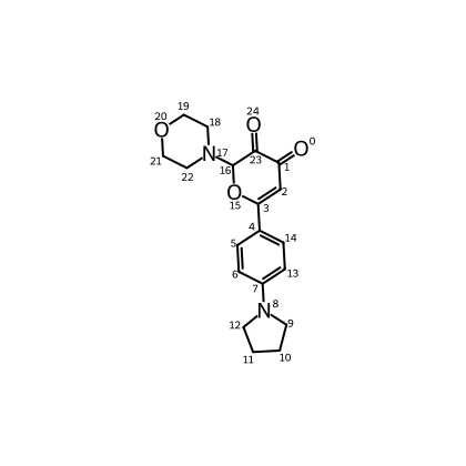 O=C1C=C(c2ccc(N3CCCC3)cc2)OC(N2CCOCC2)C1=O